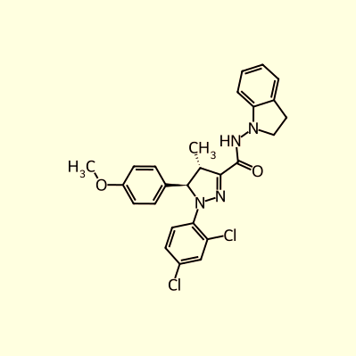 COc1ccc([C@H]2[C@H](C)C(C(=O)NN3CCc4ccccc43)=NN2c2ccc(Cl)cc2Cl)cc1